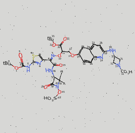 CC(C)(C)OC(=O)Nc1nc(/C(=N/OC(COc2ccc3nc(NC4CN(C(=O)O)C4)ccc3c2)C(=O)OC(C)(C)C)C(=O)N[C@@H]2C(=O)N(OS(=O)(=O)O)C2(C)C)cs1